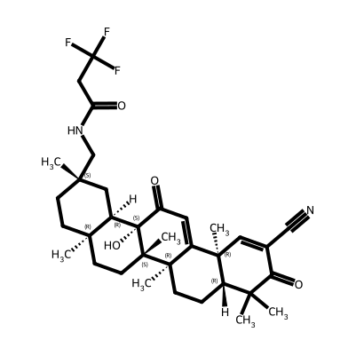 CC1(C)C(=O)C(C#N)=C[C@]2(C)C3=CC(=O)[C@]4(O)[C@@H]5C[C@@](C)(CNC(=O)CC(F)(F)F)CC[C@]5(C)CC[C@@]4(C)[C@]3(C)CC[C@@H]12